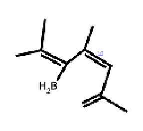 BC(=C(C)C)/C(C)=C\C(=C)C